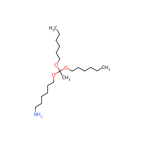 CCCCCCOC(C)(OCCCCCC)OCCCCCCN